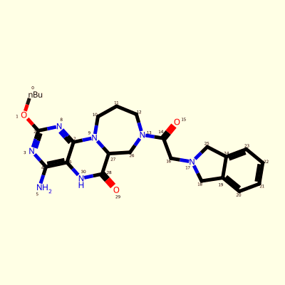 CCCCOc1nc(N)c2c(n1)N1CCCN(C(=O)CN3Cc4ccccc4C3)CC1C(=O)N2